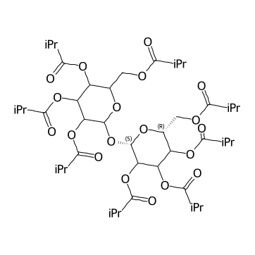 CC(C)C(=O)OCC1OC(O[C@@H]2O[C@H](COC(=O)C(C)C)C(OC(=O)C(C)C)C(OC(=O)C(C)C)C2OC(=O)C(C)C)C(OC(=O)C(C)C)C(OC(=O)C(C)C)C1OC(=O)C(C)C